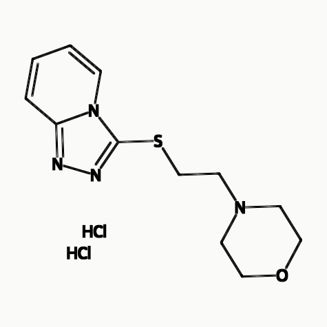 Cl.Cl.c1ccn2c(SCCN3CCOCC3)nnc2c1